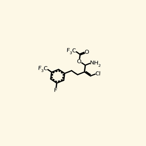 NC(OC(=O)C(F)(F)F)/C(=C\Cl)CCc1cc(F)cc(C(F)(F)F)c1